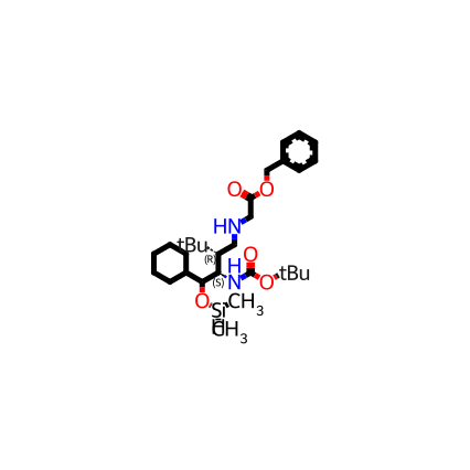 C[SiH](C)OC(C1CCCCC1)[C@@H](NC(=O)OC(C)(C)C)[C@@H](CNCC(=O)OCc1ccccc1)C(C)(C)C